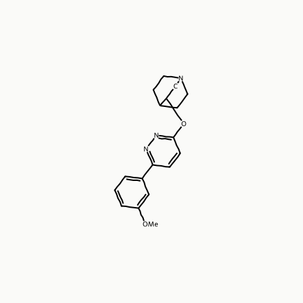 COc1cccc(-c2ccc(OC3CN4CCC3CC4)nn2)c1